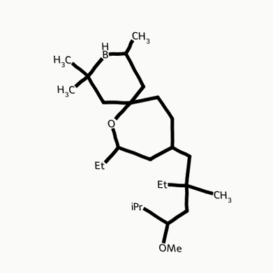 CCC1CC(CC(C)(CC)CC(OC)C(C)C)CCC2(CC(C)BC(C)(C)C2)O1